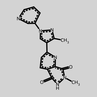 Cc1nn(-c2cccnc2)cc1-c1ccc2c(=O)[nH]n(C)c(=O)c2n1